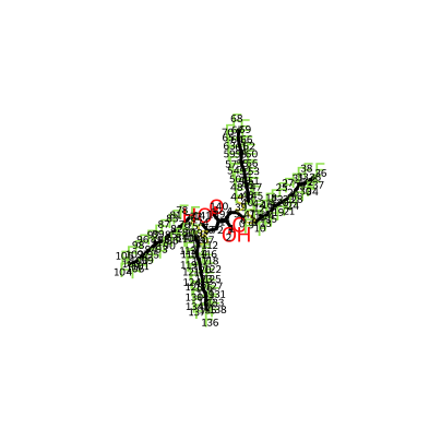 O=C(O)C(CC(CSC(F)(F)C(F)(F)C(F)(F)C(F)(F)C(F)(F)C(F)(F)C(F)(F)C(F)(F)C(F)(F)C(F)(F)F)SC(F)(F)C(F)(F)C(F)(F)C(F)(F)C(F)(F)C(F)(F)C(F)(F)C(F)(F)C(F)(F)C(F)(F)F)=C(CC(CSC(F)(F)C(F)(F)C(F)(F)C(F)(F)C(F)(F)C(F)(F)C(F)(F)C(F)(F)C(F)(F)C(F)(F)F)SC(F)(F)C(F)(F)C(F)(F)C(F)(F)C(F)(F)C(F)(F)C(F)(F)C(F)(F)C(F)(F)C(F)(F)F)C(=O)O